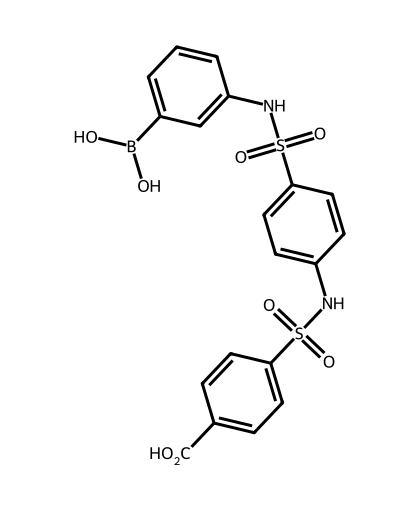 O=C(O)c1ccc(S(=O)(=O)Nc2ccc(S(=O)(=O)Nc3cccc(B(O)O)c3)cc2)cc1